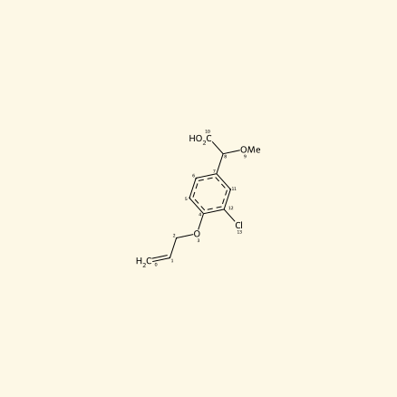 C=CCOc1ccc(C(OC)C(=O)O)cc1Cl